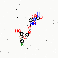 O=C1CCC(N2C(=O)c3cccc(NCCOCCOc4ccc(Oc5c(-c6ccc(Br)cc6)sc6cc(O)ccc56)cc4)c3C2=O)C(=O)N1